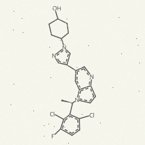 C[C@H](c1c(Cl)ccc(F)c1Cl)n1ccc2ncc(-c3cnn(C4CCC(O)CC4)c3)cc21